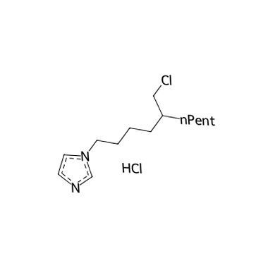 CCCCCC(CCl)CCCCn1ccnc1.Cl